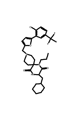 CCCN1C(=O)C(CC2CCCCC2)NC(=O)C12CCN(Cc1ccc(-c3cc(C(F)(F)F)ccc3Cl)o1)CC2